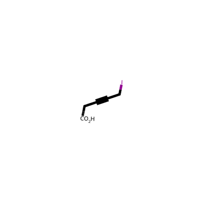 O=C(O)CC#CCI